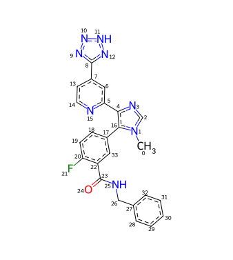 Cn1cnc(-c2cc(-c3nn[nH]n3)ccn2)c1-c1ccc(F)c(C(=O)NCc2ccccc2)c1